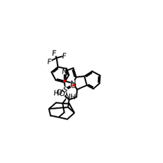 O=S(=O)(NC12CC3CC(C1)C(C(O)CC1c4ccccc4-c4cncn41)C(C3)C2)c1ccc(C(F)(F)F)cc1